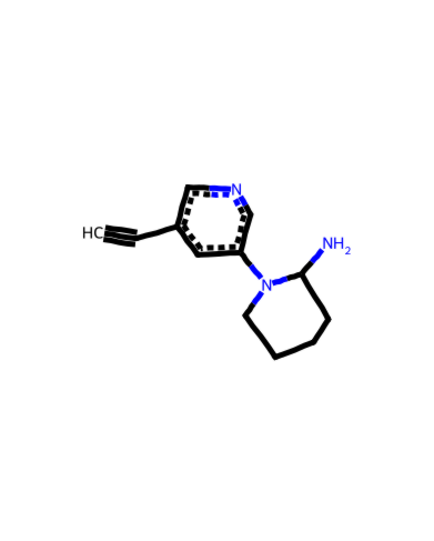 C#Cc1cncc(N2CCCCC2N)c1